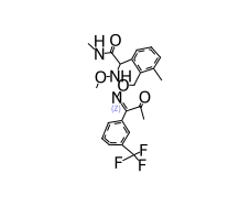 CNC(=O)C(NOC)c1cccc(C)c1CO/N=C(\C(C)=O)c1cccc(C(F)(F)F)c1